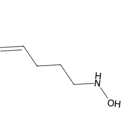 C=CCCCNO